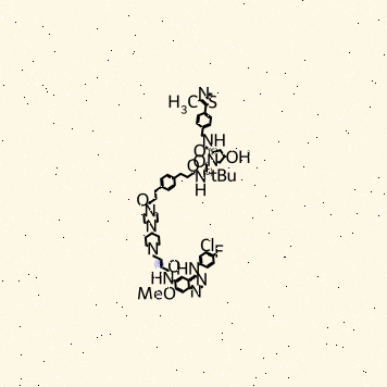 COc1cc2ncnc(Nc3ccc(F)c(Cl)c3)c2cc1NC(=O)/C=C/CN1CCC(N2CCN(C(=O)CCc3ccc(CCC(=O)N[C@H](C(=O)N4CC(O)C[C@H]4C(=O)NCc4ccc(-c5scnc5C)cc4)C(C)(C)C)cc3)CC2)CC1